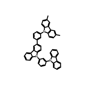 Cc1ccc2c(c1)c1cc(C)ccc1n2-c1cccc(-c2ccc3c(c2)c2ccccc2n3-c2cccc(-n3c4ccccc4c4ccccc43)c2)c1